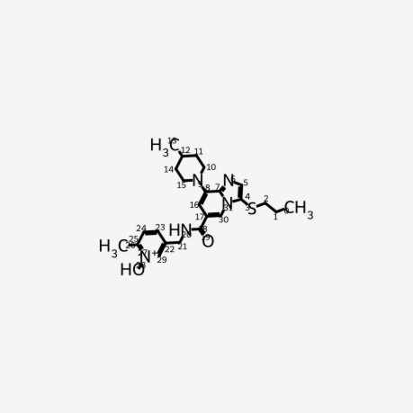 CCCSc1cnc2c(N3CCC(C)CC3)cc(C(=O)NCc3ccc(C)[n+](O)c3)cn12